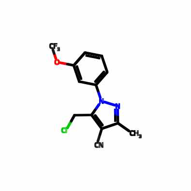 Cc1nn(-c2cccc(OC(F)(F)F)c2)c(CCl)c1C#N